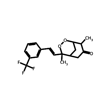 CC1C(=O)CC2CC1OOC2(C)C=Cc1cccc(C(F)(F)F)c1